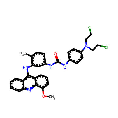 COc1cccc2c(Nc3cc(NC(=O)Nc4ccc(N(CCCl)CCCl)cc4)ccc3C)c3ccccc3nc12